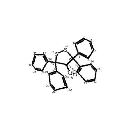 OC1C(c2ccccc2)(c2ccccc2)SSC1(c1ccccc1)c1ccccc1